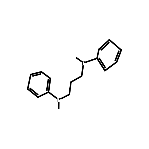 CP(CCCP(C)c1ccccc1)c1ccccc1